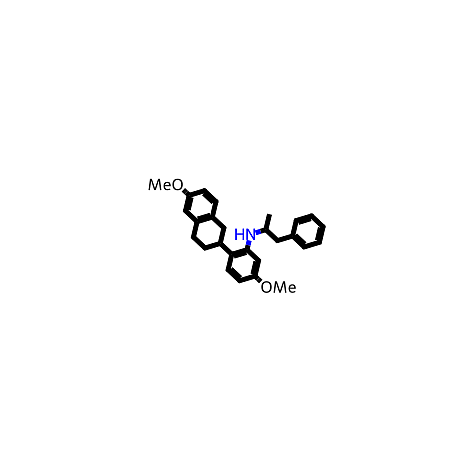 COc1ccc2c(c1)CCC(c1ccc(OC)cc1NC(C)Cc1ccccc1)C2